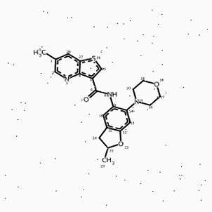 Cc1cnc2c(C(=O)Nc3cc4c(cc3N3CCOCC3)OC(C)C4)csc2c1